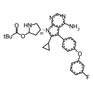 CC(C)(C)C(=O)OC1C[C@@H](n2c(C3CC3)c(-c3ccc(Oc4cccc(F)c4)cc3)c3c(N)ncnc32)CN1